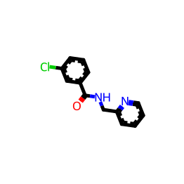 O=C(NCc1ccccn1)c1cccc(Cl)c1